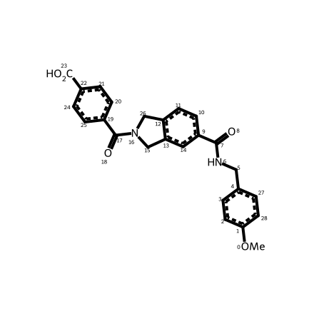 COc1ccc(CNC(=O)c2ccc3c(c2)CN(C(=O)c2ccc(C(=O)O)cc2)C3)cc1